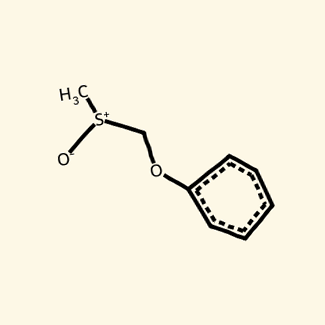 C[S+]([O-])COc1ccccc1